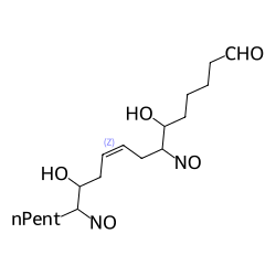 CCCCCC(N=O)C(O)C/C=C\CC(N=O)C(O)CCCCC=O